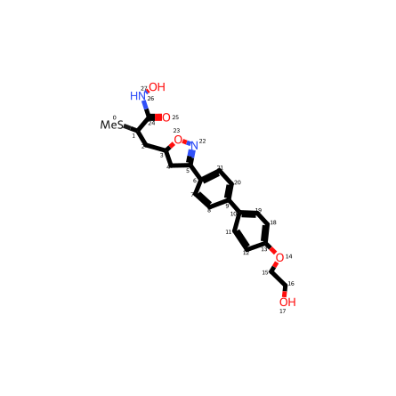 CSC(CC1CC(c2ccc(-c3ccc(OCCO)cc3)cc2)=NO1)C(=O)NO